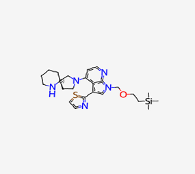 C[Si](C)(C)CCOCn1cc(-c2nccs2)c2c(N3CC[C@@]4(CCCCN4)C3)ccnc21